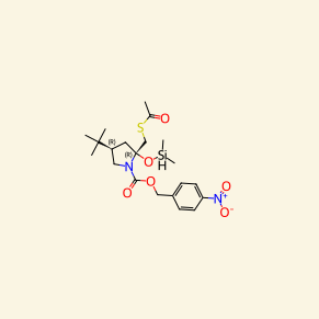 CC(=O)SC[C@]1(O[SiH](C)C)C[C@H](C(C)(C)C)CN1C(=O)OCc1ccc([N+](=O)[O-])cc1